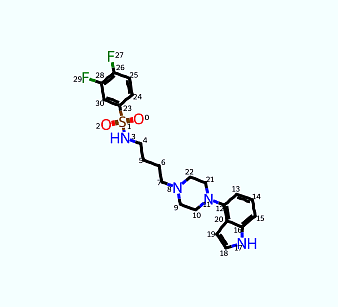 O=S(=O)(NCCCCN1CCN(c2cccc3[nH]ccc23)CC1)c1ccc(F)c(F)c1